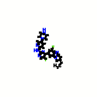 CC[C@H]1Cc2nc3c(F)cc(-c4nc(Nc5ccc(N6CCNCC6)cn5)ncc4F)cc3n2C1